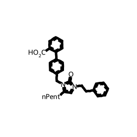 CCCCCc1cn(CCc2ccccc2)c(=O)n1Cc1ccc(-c2ccccc2C(=O)O)cc1